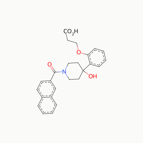 O=C(O)CCOc1ccccc1C1(O)CCN(C(=O)c2ccc3ccccc3c2)CC1